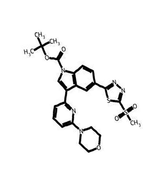 CC(C)(C)OC(=O)n1cc(-c2cccc(N3CCOCC3)n2)c2cc(-c3nnc(S(C)(=O)=O)s3)ccc21